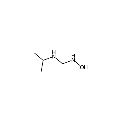 CC(C)NCNO